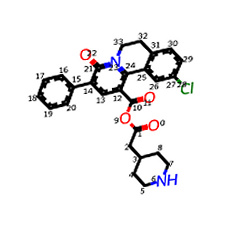 O=C(CC1CCNCC1)OC(=O)c1cc(-c2ccccc2)c(=O)n2c1-c1cc(Cl)ccc1CC2